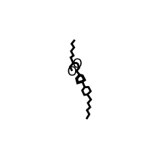 CCCCCCC1CCC(c2ccc(C3COC(CCCCCC)CO3)cc2)CC1